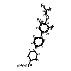 CCCCC[C@H]1CC[C@H](c2ccc(-c3cc(F)c(OC=C(F)F)c(F)c3)cc2)CC1